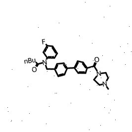 CCCCC(=O)N(Cc1ccc(-c2ccc(C(=O)N3CCN(C)CC3)cc2)cc1)c1cccc(F)c1